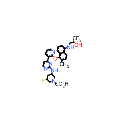 Cc1ccc2c(NC[C@H](O)C(F)(F)F)cccc2c1Oc1ncccc1-c1ccnc(NC2CC(F)CN(C(=O)O)C2)n1